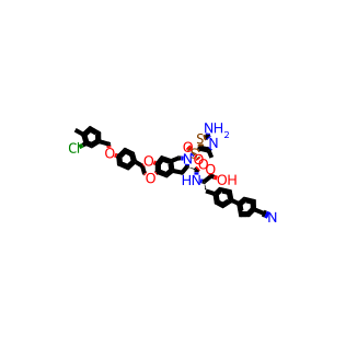 Cc1ccc(COc2ccc(C3COc4cc5c(cc4O3)CN(S(=O)(=O)c3sc(N)nc3C)[C@H](C(=O)N[C@@H](Cc3ccc(-c4ccc(C#N)cc4)cc3)C(=O)O)C5)cc2)cc1Cl